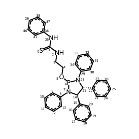 S=C(NCCOP1N(c2ccccc2)[C@H](c2ccccc2)[C@@H](c2ccccc2)N1c1ccccc1)Nc1ccccc1